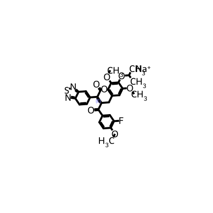 COc1ccc(C(=O)/C(Cc2cc(OC)c(OC(C)C)c(OC)c2)=C(/C(=O)[O-])c2ccc3nsnc3c2)cc1F.[Na+]